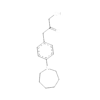 CCC(=O)Cc1ccc(N2CCCCCC2)cc1